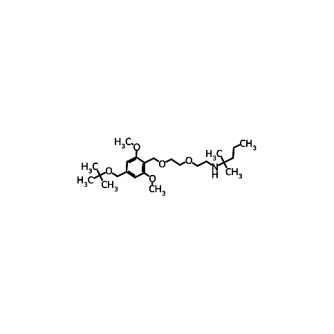 CCCC(C)(C)NCCOCCOCc1c(OC)cc(COC(C)(C)C)cc1OC